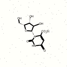 CCOC(=O)c1cc(=O)[nH]c(=O)n1[C@@H]1O[C@H](CO)[C@H](O)C1O